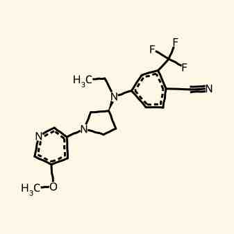 CCN(c1ccc(C#N)c(C(F)(F)F)c1)[C@H]1CCN(c2cncc(OC)c2)C1